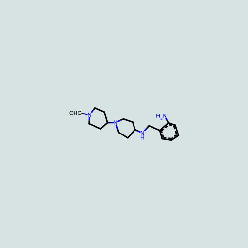 Nc1ccccc1CNC1CCN(C2CCN(C=O)CC2)CC1